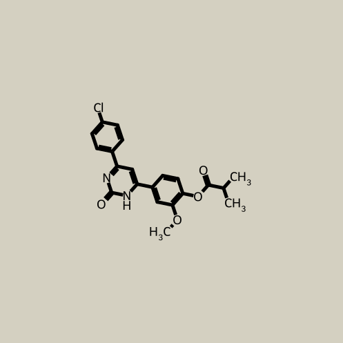 COc1cc(-c2cc(-c3ccc(Cl)cc3)nc(=O)[nH]2)ccc1OC(=O)C(C)C